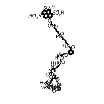 [N-]=[N+]=NCOC1CC(n2cc(C#CCNC(=O)COC(COc3cccc(C(=O)NCCCCCNC(=O)CCCCCNC(=O)COc4cc(S(=O)(=O)O)c5ccc6c(S(=O)(=O)O)cc(S(=O)(=O)O)c7ccc4c5c76)c3)N=[N+]=[N-])c(N)nc2=O)OC1COP(=O)(O)OP(=O)(O)OP(=O)(O)O